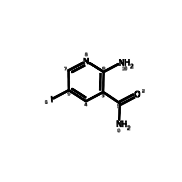 NC(=O)c1cc(I)cnc1N